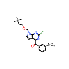 C[Si](C)(C)CCOCn1ccc2c(C(=O)c3cccc([N+](=O)[O-])c3)nc(Cl)nc21